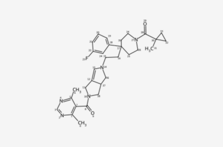 Cc1ncnc(C)c1C(=O)N1CC2=CN(CCC3(c4cccc(F)c4)CCN(C(=O)C4(C)CC4)CC3)CC2C1